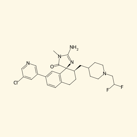 CN1C(=O)[C@@]2(N=C1N)c1cc(-c3cncc(Cl)c3)ccc1CC[C@@H]2CC1CCN(CC(F)F)CC1